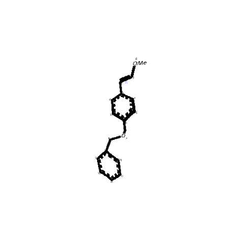 CO/C=C/c1ccc(OCc2ccccc2)cc1